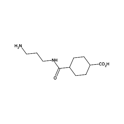 NCCCNC(=O)C1CCC(C(=O)O)CC1